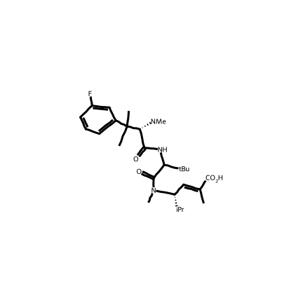 CN[C@H](C(=O)NC(C(=O)N(C)[C@H](/C=C(\C)C(=O)O)C(C)C)C(C)(C)C)C(C)(C)c1cccc(F)c1